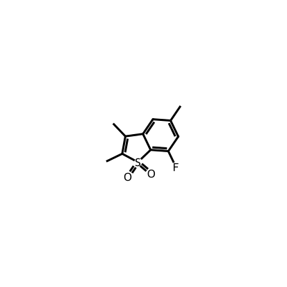 CC1=C(C)S(=O)(=O)c2c(F)cc(C)cc21